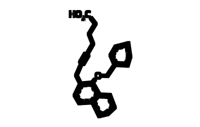 O=C(O)CCCC#CCc1ccc2ccccc2c1OCc1ccccc1